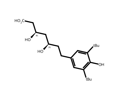 CC(C)(C)c1cc(CC[C@@H](O)C[C@@H](O)CC(=O)O)cc(C(C)(C)C)c1O